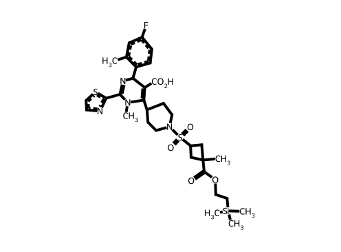 Cc1cc(F)ccc1C1N=C(c2nccs2)N(C)C(C2CCN(S(=O)(=O)C3CC(C)(C(=O)OCC[Si](C)(C)C)C3)CC2)=C1C(=O)O